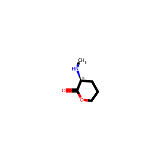 CN[C@H]1CCCOC1=O